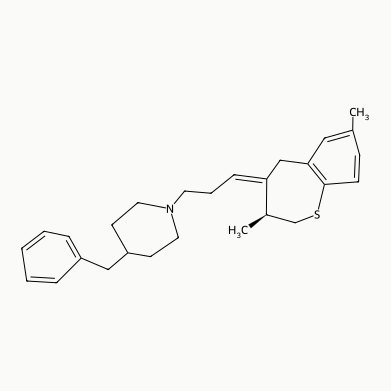 Cc1ccc2c(c1)C/C(=C/CCN1CCC(Cc3ccccc3)CC1)[C@H](C)CS2